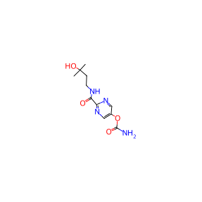 CC(C)(O)CCNC(=O)c1ncc(OC(N)=O)cn1